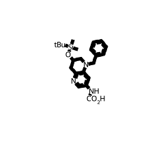 CC(C)(C)[Si](C)(C)OC1Cc2ncc(NC(=O)O)cc2N(Cc2ccccc2)C1